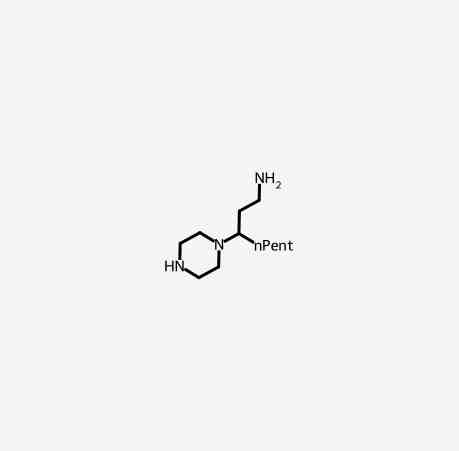 CCCCCC(CCN)N1CCNCC1